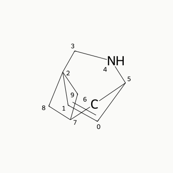 C1=CC23CNC1CC(C2)C3